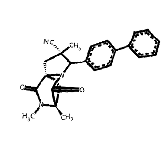 CN1C(=O)[C@@]23C[C@](C)(C#N)C(c4ccc(-c5ccccc5)cc4)N2C(=O)[C@]1(C)SS3